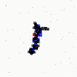 COc1nc(NC(=O)c2cnc(N3CC[C@@H](N4CCCC4)C3)cn2)cn2cc(C)nc12